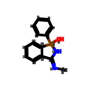 CC(=O)N=C1NS(O)(c2ccccc2)c2ccccc21